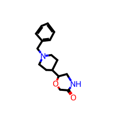 O=C1COC(C2CCN(Cc3ccccc3)CC2)CN1